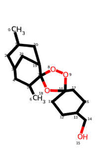 CC1CC2CC(C)C3(OOC4(CCC(CO)CC4)O3)C(C1)C2